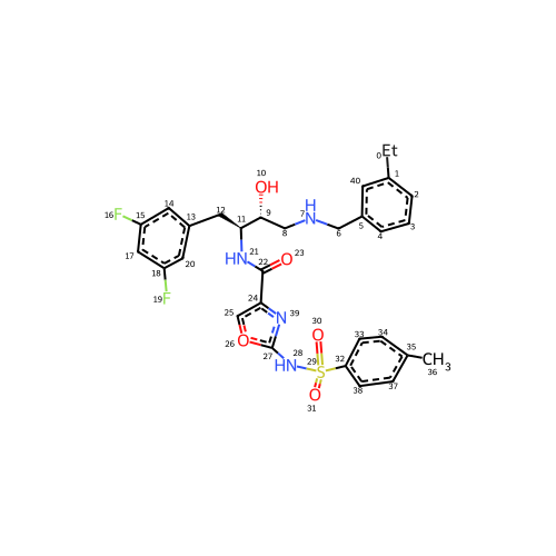 CCc1cccc(CNC[C@@H](O)[C@H](Cc2cc(F)cc(F)c2)NC(=O)c2coc(NS(=O)(=O)c3ccc(C)cc3)n2)c1